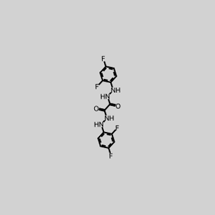 O=C(NNc1ccc(F)cc1F)C(=O)NNc1ccc(F)cc1F